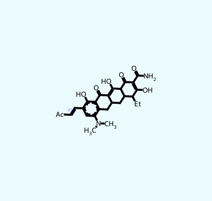 CCC1C(O)=C(C(N)=O)C(=O)C2C(O)=C3C(=O)c4c(O)c(/C=C/C(C)=O)cc(N(C)C)c4CC3CC12